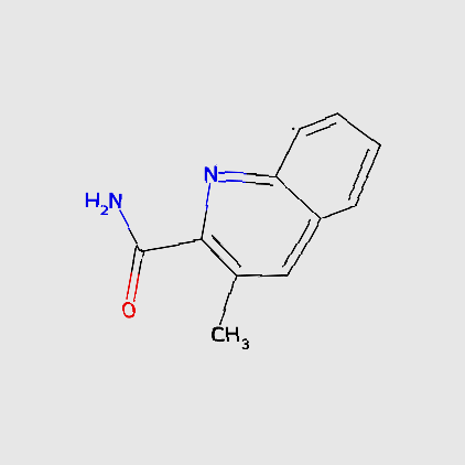 Cc1cc2ccc[c]c2nc1C(N)=O